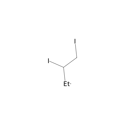 C[CH]C(I)CI